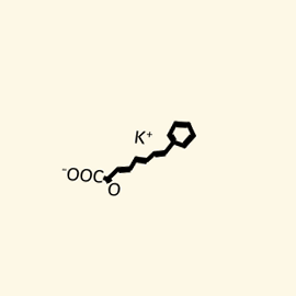 O=C([O-])C(=O)C=CC=CC=Cc1ccccc1.[K+]